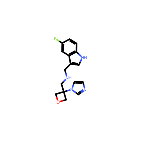 Fc1ccc2[nH]cc(CNCC3(n4ccnc4)COC3)c2c1